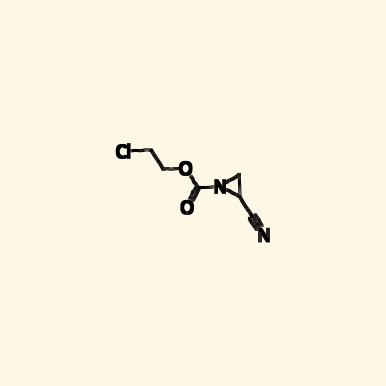 N#CC1CN1C(=O)OCCCl